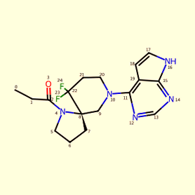 CCC(=O)N1CCC[C@@]12CN(c1ncnc3[nH]ccc13)CCC2(F)F